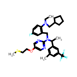 CCN(CC1CCCC1)c1ccc(F)cc1CN(c1ncc(OCCSC)cn1)C(C)c1cc(C)cc(C(F)(F)F)c1